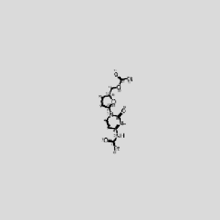 CCC(=O)Nc1ccn([C@H]2CC[C@@H](COC(=O)CC)O2)c(=O)n1